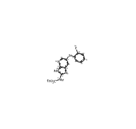 CCOC(=O)Nc1nc2cc(Sc3ccccc3F)cnc2[nH]1